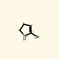 BrC1=CCCN1